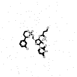 C[C@@]1(F)[C@H](OC(=O)CCCl)[C@@H](COP2(=O)OCCC(c3cccc(Cl)c3)O2)O[C@H]1n1ccc(=O)[nH]c1=O